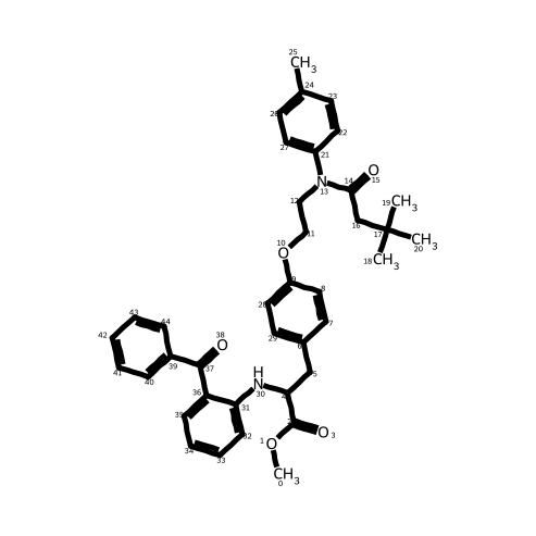 COC(=O)C(Cc1ccc(OCCN(C(=O)CC(C)(C)C)c2ccc(C)cc2)cc1)Nc1ccccc1C(=O)c1ccccc1